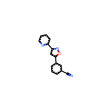 N#Cc1cccc(-c2cc(-c3ccccn3)no2)c1